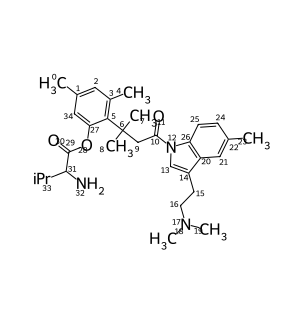 Cc1cc(C)c(C(C)(C)CC(=O)n2cc(CCN(C)C)c3cc(C)ccc32)c(OC(=O)C(N)C(C)C)c1